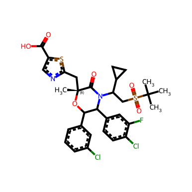 CC(C)(C)S(=O)(=O)CC(C1CC1)N1C(=O)[C@@](C)(Cc2ncc(C(=O)O)s2)OC(c2cccc(Cl)c2)C1c1ccc(Cl)c(F)c1